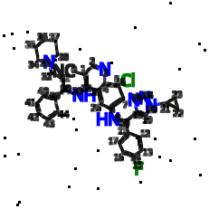 N#Cc1cnc2c(Cl)cc(N[C@@H](c3ccc(F)cc3)c3cn(C4CC4)nn3)cc2c1N[C@H](CCN1CCCCC1)c1ccccc1